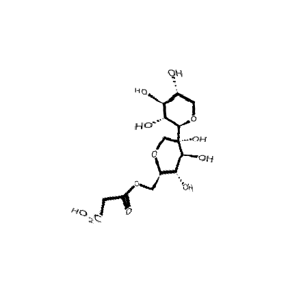 O=C(O)CC(=O)OC[C@H]1O[CH][C@@](O)([C@@H]2OC[C@@H](O)[C@H](O)[C@H]2O)[C@@H](O)[C@@H]1O